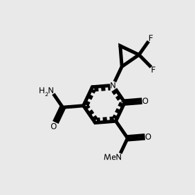 CNC(=O)c1cc(C(N)=O)cn(C2CC2(F)F)c1=O